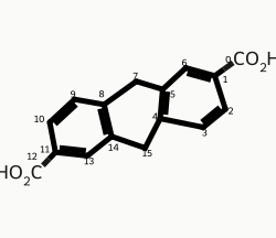 O=C(O)c1ccc2c(c1)Cc1ccc(C(=O)O)cc1C2